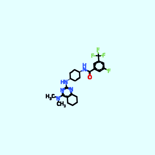 CN(C)c1nc(N[C@H]2CC[C@@H](NC(=O)c3cc(F)cc(C(F)(F)F)c3)CC2)nc2c1CCCC2